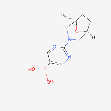 OB(O)c1cnc(N2C[C@H]3CC[C@@H](C2)O3)nc1